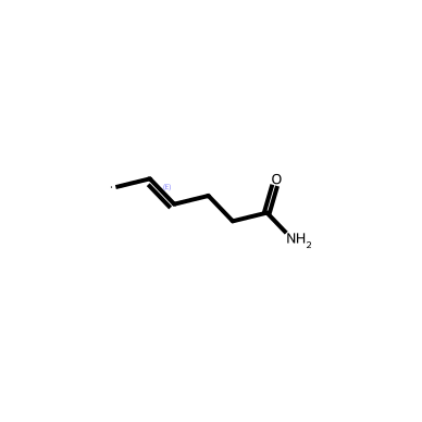 [CH2]/C=C/CCC(N)=O